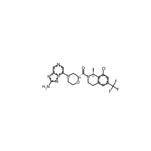 C[C@H]1c2c(Cl)cc(C(F)(F)F)cc2CCN1C(=O)[C@H]1CN(c2cncc3nc(N)nn23)CCO1